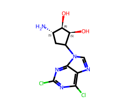 N[C@H]1CC(n2cnc3c(Cl)nc(Cl)nc32)[C@H](O)[C@@H]1O